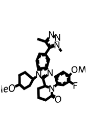 COc1ccc(N2C(=O)CCCC2c2nc3cc(-c4c(C)nnn4C)ccc3n2C2CCC(OC)CC2)cc1F